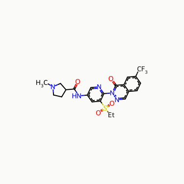 CCS(=O)(=O)c1cc(NC(=O)C2CCN(C)C2)cnc1-n1ncc2ccc(C(F)(F)F)cc2c1=O